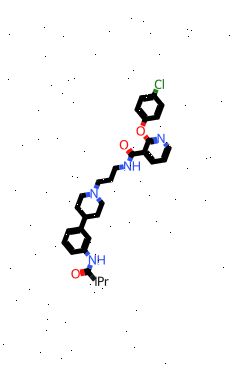 CC(C)C(=O)Nc1cccc(C2CCN(CCCNC(=O)c3cccnc3Oc3ccc(Cl)cc3)CC2)c1